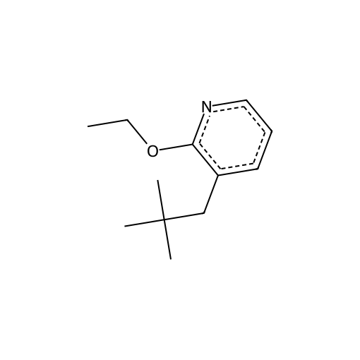 CCOc1ncccc1CC(C)(C)C